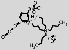 CCCC[N+](CCCC)(CCCC)CCCC.[C]=O.[C]=O.[C]=O.[C]=O.[C]=O.[O]=[Cr](=[O])([O-])[O]c1ccccc1